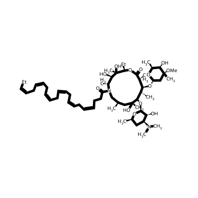 CC/C=C\C/C=C\C/C=C\C/C=C\C/C=C\C/C=C\CCC(=O)N1C[C@H](C)C[C@@](C)(O)[C@H](O[C@@H]2O[C@H](C)C[C@H](N(C)C)[C@H]2O)[C@@H](C)[C@H](O[C@H]2C[C@@](C)(OC)[C@@H](O)[C@H](C)O2)[C@@H](C)C(=O)O[C@H](CC)[C@@](C)(O)[C@H](O)[C@H]1C